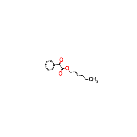 CCCC=CCOC(=O)C(=O)c1ccccc1